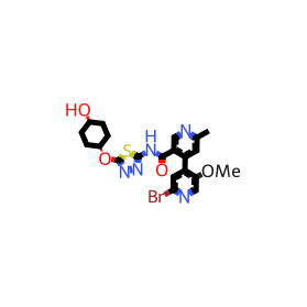 COc1cnc(Br)cc1-c1cc(C)ncc1C(=O)Nc1nnc(O[C@H]2CC[C@H](O)CC2)s1